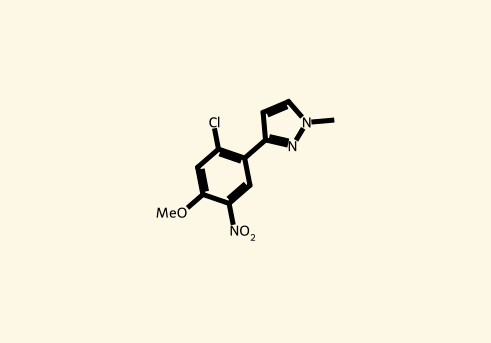 COc1cc(Cl)c(-c2ccn(C)n2)cc1[N+](=O)[O-]